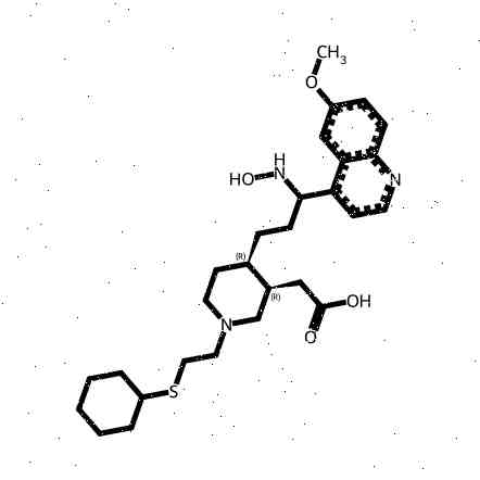 COc1ccc2nccc(C(CC[C@@H]3CCN(CCSC4CCCCC4)C[C@@H]3CC(=O)O)NO)c2c1